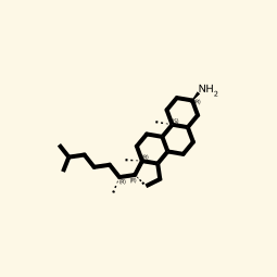 CC(C)CCC[C@@H](C)[C@H]1CCC2C3CCC4C[C@H](N)CC[C@]4(C)C3CC[C@@]21C